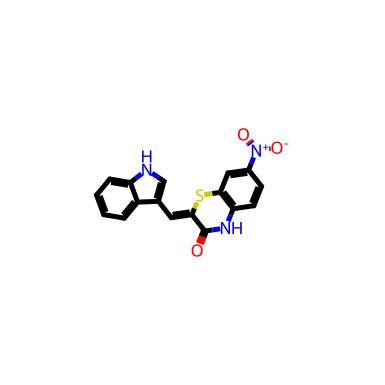 O=C1Nc2ccc([N+](=O)[O-])cc2SC1=Cc1c[nH]c2ccccc12